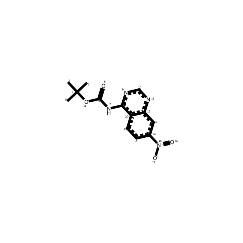 CC(C)(C)OC(=O)Nc1ncnc2cc([N+](=O)[O-])ccc12